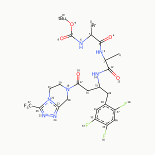 CC(NC(=O)C(NC(=O)OC(C)(C)C)C(C)C)C(=O)NC(CC(=O)N1CCn2c(nnc2C(F)(F)F)C1)Cc1cc(F)c(F)cc1F